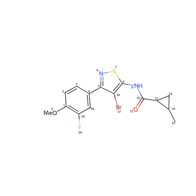 COc1ccc(-c2nsc(NC(=O)C3CC3C)c2Br)cc1F